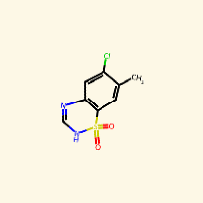 Cc1cc2c(cc1Cl)N=CNS2(=O)=O